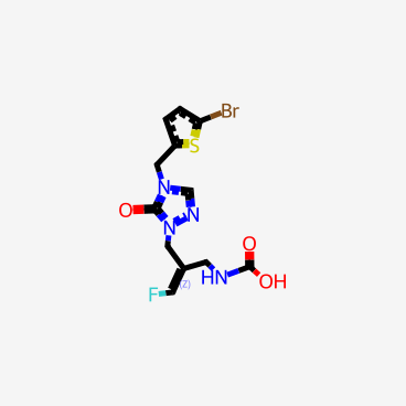 O=C(O)NC/C(=C/F)Cn1ncn(Cc2ccc(Br)s2)c1=O